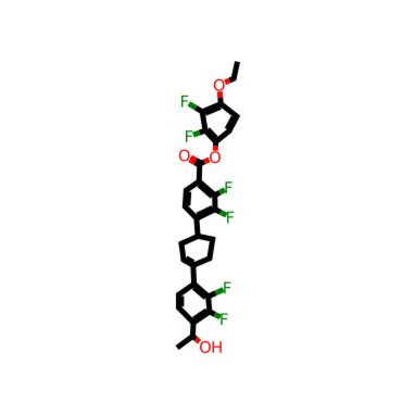 CCOc1ccc(OC(=O)c2ccc(C3CC=C(c4ccc(C(C)O)c(F)c4F)CC3)c(F)c2F)c(F)c1F